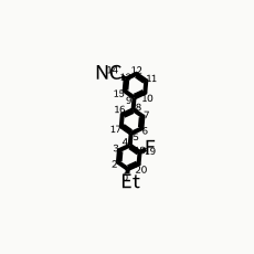 CCc1ccc(-c2ccc(-c3cccc(C#N)c3)cc2)c(F)c1